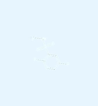 NNS(=O)(=O)c1cc(F)ccc1F